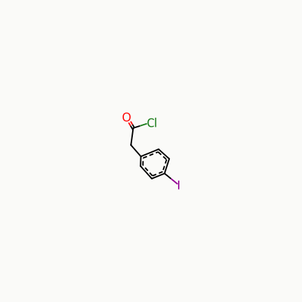 O=C(Cl)Cc1ccc(I)cc1